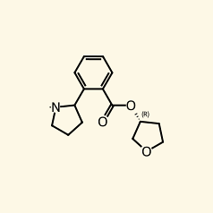 O=C(O[C@@H]1CCOC1)c1ccccc1C1CCC[N]1